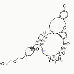 COCCOCCN1CCN(C[C@]2(OC)/C=C/C[C@H](C)[C@@H](C)S(=O)(=O)NC(=O)c3ccc4c(c3)N(CCCCc3cc(Cl)ccc3CO4)C[C@@H]3CC[C@H]32)CC1